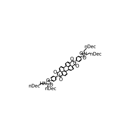 CCCCCCCCCCCCNC(CCCCCCCCCCC)S(=O)(=O)c1ccc(N2C(=O)c3ccc4c5ccc6c7c(ccc(c8ccc(c3c48)C2=O)c75)C(=O)N(c2ccc(S(=O)(=O)N(CCCCCCCCCCCC)CCCCCCCCCCCC)cc2)C6=O)cc1